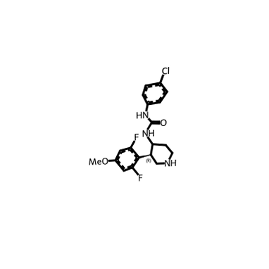 COc1cc(F)c([C@@H]2CNCCC2NC(=O)Nc2ccc(Cl)cc2)c(F)c1